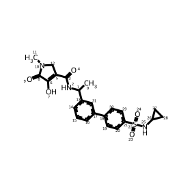 CC(NC(=O)C1=C(O)C(=O)N(C)C1)c1cccc(-c2ccc(S(=O)(=O)NC3CC3)cc2)c1